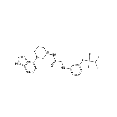 O=C(CNc1cccc(OC(F)(F)C(F)F)c1)N[C@@H]1CCCN(c2ncnc3[nH]ccc23)C1